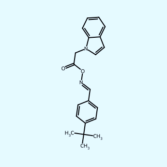 CC(C)(C)c1ccc(C=NOC(=O)Cn2ccc3ccccc32)cc1